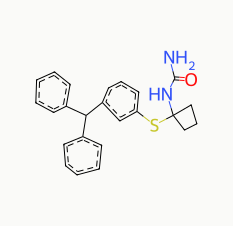 NC(=O)NC1(Sc2cccc(C(c3ccccc3)c3ccccc3)c2)CCC1